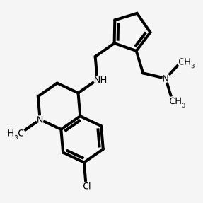 CN(C)CC1=CCC=C1CNC1CCN(C)c2cc(Cl)ccc21